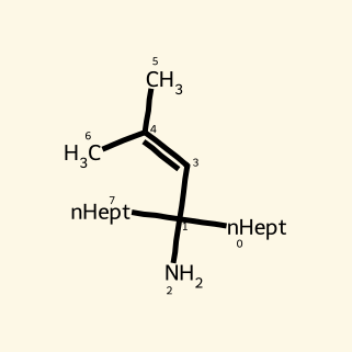 CCCCCCCC(N)(C=C(C)C)CCCCCCC